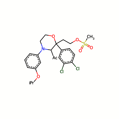 CC(=O)C1N(c2cccc(OC(C)C)c2)CCOC1(CCOS(C)(=O)=O)c1ccc(Cl)c(Cl)c1